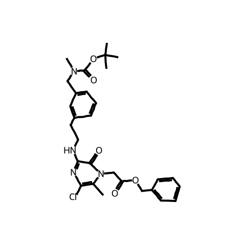 Cc1c(Cl)nc(NCCc2cccc(CN(C)C(=O)OC(C)(C)C)c2)c(=O)n1CC(=O)OCc1ccccc1